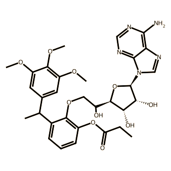 CCC(=O)Oc1cccc(C(C)c2cc(OC)c(OC)c(OC)c2)c1OCC(O)[C@H]1O[C@@H](n2cnc3c(N)ncnc32)[C@H](O)[C@@H]1O